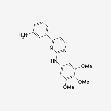 COc1cc(Nc2nccc(-c3cccc(N)c3)n2)cc(OC)c1OC